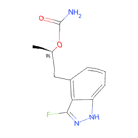 C[C@H](Cc1cccc2[nH]nc(F)c12)OC(N)=O